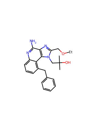 CCOCc1nc2c(N)nc3cccc(Cc4ccccc4)c3c2n1CC(C)(C)O